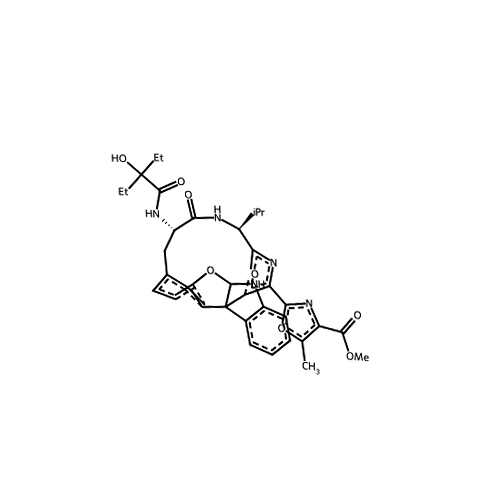 CCC(O)(CC)C(=O)N[C@H]1Cc2ccc3c(c2)C2(c4ccccc4NC2O3)c2oc(nc2-c2nc(C(=O)OC)c(C)o2)[C@H](C(C)C)NC1=O